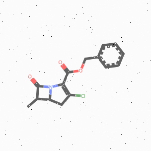 CC1C(=O)N2C(C(=O)OCc3ccccc3)=C(Cl)CC12